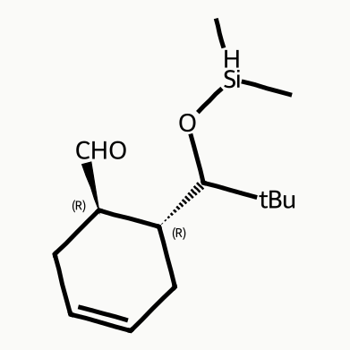 C[SiH](C)OC([C@@H]1CC=CC[C@H]1C=O)C(C)(C)C